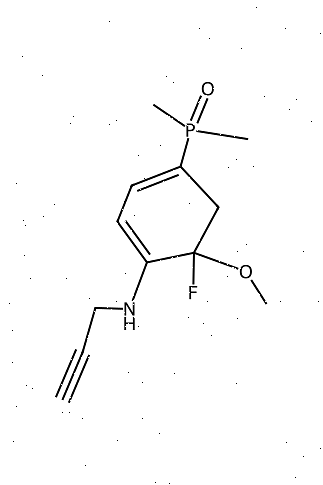 C#CCNC1=CC=C(P(C)(C)=O)CC1(F)OC